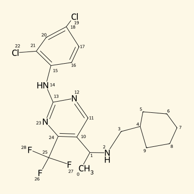 CC(NCC1CCCCC1)c1cnc(Nc2ccc(Cl)cc2Cl)nc1C(F)(F)F